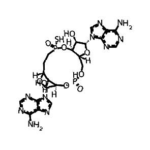 Nc1ncnc2c1ncn2[C@@H]1O[C@@H]2CO[PH](=O)O[C@@H]3[C@H](O)[C@@H](CC[P@@](=O)(S)O[C@H]2[C@H]1O)O[C@H]3n1cnc2c(N)ncnc21